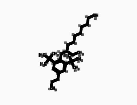 CCCc1cc(C(C)(C)C)c(OP(CC)OCCCCCCO)c(C(C)(C)C)c1